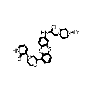 CC(CN1CCN(C(C)C)CC1)Nc1ccc2c(c1)Sc1cccc(C3CN(c4ccc[nH]c4=O)CCO3)c1S2